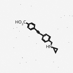 O=C(O)c1ccc(C#Cc2ccc(CNC3CC3)cc2)cc1